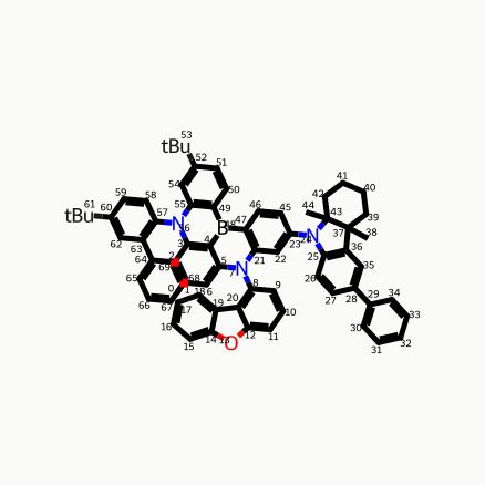 Cc1cc2c3c(c1)N(c1cccc4oc5ccccc5c14)c1cc(N4c5ccc(-c6ccccc6)cc5C5(C)CCCCC45C)ccc1B3c1ccc(C(C)(C)C)cc1N2c1ccc(C(C)(C)C)cc1-c1ccccc1